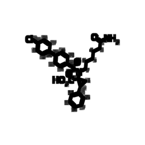 NC(=O)CCCCCN([C@]1(C(=O)O)C[C@H]1c1ccccc1)S(=O)(=O)c1ccc(-c2ccc(Cl)cc2)cc1